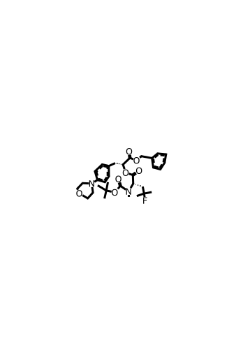 CN(C(=O)OC(C)(C)C)[C@@H](CC(C)(C)F)C(=O)O[C@H](Cc1ccc(N2CCOCC2)cc1)C(=O)OCc1ccccc1